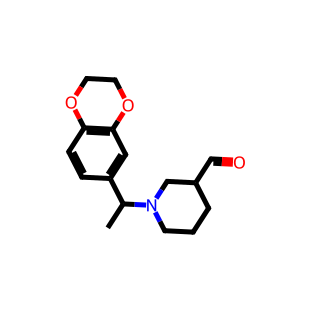 CC(c1ccc2c(c1)OCCO2)N1CCCC(C=O)C1